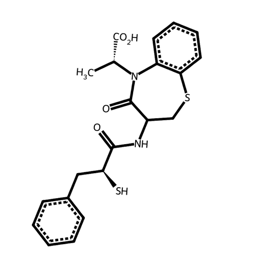 C[C@H](C(=O)O)N1C(=O)C(NC(=O)[C@@H](S)Cc2ccccc2)CSc2ccccc21